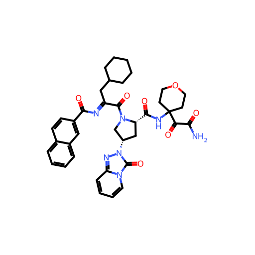 NC(=O)C(=O)C1(NC(=O)[C@@H]2C[C@H](n3nc4ccccn4c3=O)CN2C(=O)/C(CC2CCCCC2)=N/C(=O)c2ccc3ccccc3c2)CCOCC1